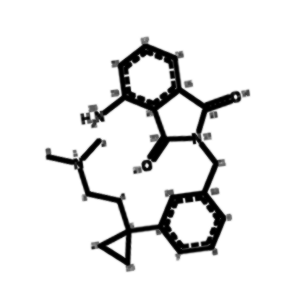 CN(C)CCC1(c2cccc(CN3C(=O)c4cccc(N)c4C3=O)c2)CC1